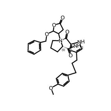 COc1ccc(CCCc2c[nH]c(C(=O)[N+]3(C4CC(=O)OC4OCc4ccccc4)CCC[C@H]3C(N)=O)n2)cc1